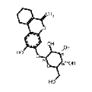 C=C1Oc2cc(O[C@@H]3OC(CO)[C@@H](O)[C@@H](O)C3O)c(O)cc2C2=C1CCCC2